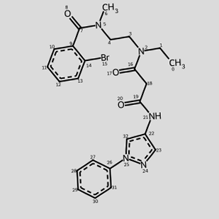 CCN(CCN(C)C(=O)c1ccccc1Br)C(=O)CC(=O)Nc1cnn(-c2ccccc2)c1